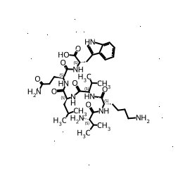 CC(C)C[C@H](NC(=O)[C@@H](NC(=O)[C@H](CCCCN)NC(=O)[C@@H](N)C(C)C)C(C)C)C(=O)N[C@@H](CCC(N)=O)C(=O)N[C@@H](Cc1c[nH]c2ccccc12)C(=O)O